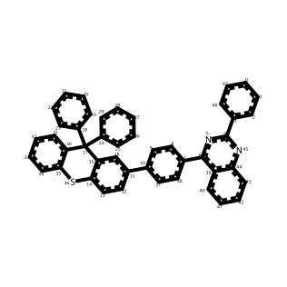 c1ccc(-c2nc(-c3ccc(-c4ccc5c(c4)C(c4ccccc4)(c4ccccc4)c4ccccc4S5)cc3)c3ccccc3n2)cc1